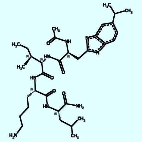 CC[C@H](C)[C@H](NC(=O)[C@H](Cc1nc2ccc(C(C)C)cc2s1)NC(C)=O)C(=O)N[C@@H](CCCCN)C(=O)N[C@@H](CC(C)C)C(N)=O